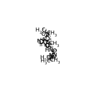 C=CC(=O)N(C)[C@@H]1CCC(=O)N(c2cnccc2-c2ccc(CNC(=O)c3nnn(C(C)(C)C)n3)c(C)c2)C1